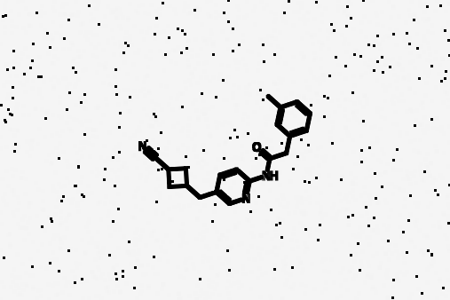 Cc1cccc(CC(=O)Nc2ccc(CC3CC(C#N)C3)cn2)c1